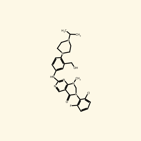 CC(C)N1CCN(c2ccc(Nc3ncc4c(n3)N(C)CN(c3c(F)cccc3Cl)C4=O)cc2CO)CC1